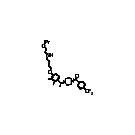 Cc1c(OCCCCNCCOC(C)C)ccc(C(C)N2CCN(C(=O)c3ccc(C(F)(F)F)cc3)CC2)c1C